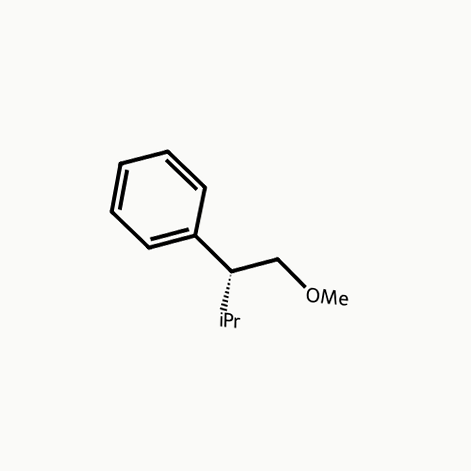 COC[C@@H](c1ccccc1)C(C)C